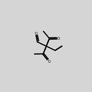 CCC([C]=O)(C(C)=O)C(C)=O